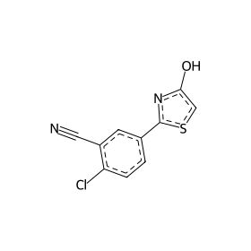 N#Cc1cc(-c2nc(O)cs2)ccc1Cl